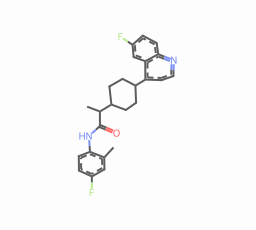 Cc1cc(F)ccc1NC(=O)C(C)C1CCC(c2ccnc3ccc(F)cc23)CC1